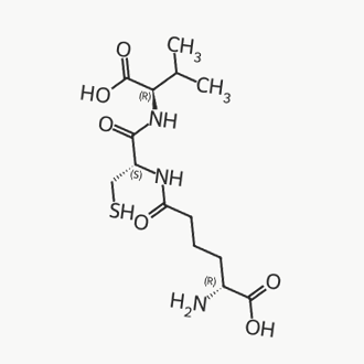 CC(C)[C@@H](NC(=O)[C@@H](CS)NC(=O)CCC[C@@H](N)C(=O)O)C(=O)O